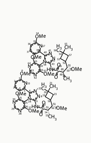 COc1cccc(-c2nnc(NS(=O)(=O)[C@@H](C)[C@@H](OC)C3CC(C)(C)C3)n2-c2c(OC)ncnc2OC)n1.COc1cccc(-c2nnc(NS(=O)(=O)[C@H](C)[C@@H](OC)C3CC(C)(C)C3)n2-c2c(OC)ncnc2OC)n1